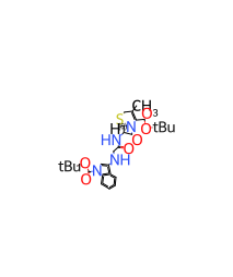 CC1=C(C(=O)OC(C)(C)C)N2C(=O)C(NC(=O)CNc3cn(C(=O)OC(C)(C)C)c4ccccc34)[C@@H]2SC1